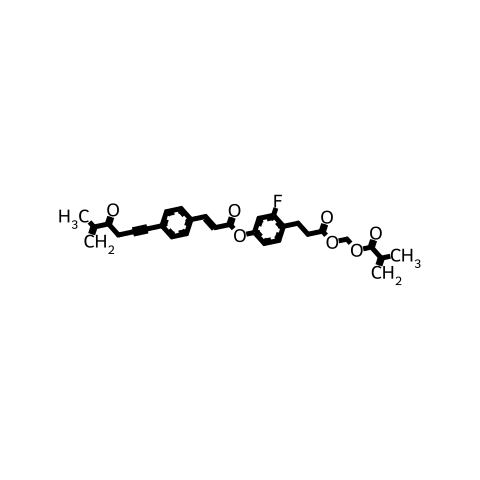 C=C(C)C(=O)CC#Cc1ccc(/C=C/C(=O)Oc2ccc(CCC(=O)OCOC(=O)C(=C)C)c(F)c2)cc1